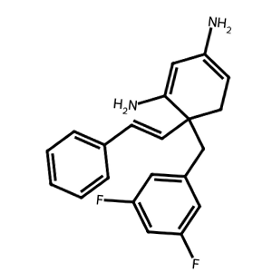 NC1=CCC(C=Cc2ccccc2)(Cc2cc(F)cc(F)c2)C(N)=C1